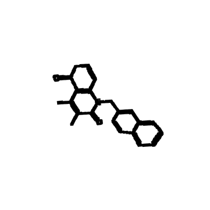 Cc1c2c(n(Cc3ccc4ccccc4c3)c(=O)c1C)C=CCC2=O